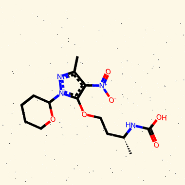 Cc1nn(C2CCCCO2)c(OCC[C@@H](C)NC(=O)O)c1[N+](=O)[O-]